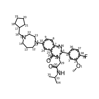 COc1cc(-c2nc3ccc(N4CCCN(CC5CCCC5)CC4)cc3c(=O)n2CC(=O)NC(C)C)ccc1F